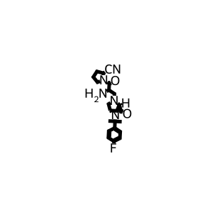 CC(C)(c1ccc(F)cc1)N1C(=O)[C@@H]2CC1CN2CC(N)C(=O)N1CCCC1C#N